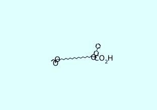 C=CC(=O)OCCCCCCCCCCCCCCCCOC1(C(=O)O)C=CC(c2ccccc2)C=C1